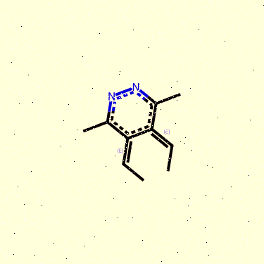 C/C=c1/c(C)nnc(C)/c1=C/C